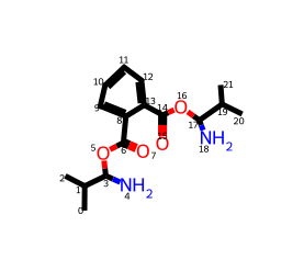 CC(C)C(N)OC(=O)c1ccccc1C(=O)OC(N)C(C)C